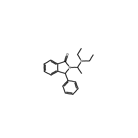 CCN(CC)C(C)N1C(=O)c2ccccc2C1c1ccccc1